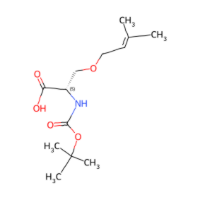 CC(C)=CCOC[C@H](NC(=O)OC(C)(C)C)C(=O)O